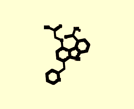 NC(=O)c1cccc2[nH]c3c(Cc4ccccn4)ccc(OCC(=O)O)c3c12